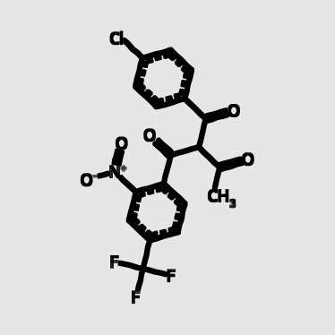 CC(=O)C(C(=O)c1ccc(Cl)cc1)C(=O)c1ccc(C(F)(F)F)cc1[N+](=O)[O-]